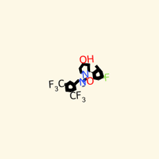 Cc1cc(F)ccc1[C@H]1C[C@H](O)CCN1C(=O)N(C)Cc1cc(C(F)(F)F)cc(C(F)(F)F)c1